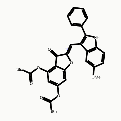 COc1ccc2[nH]c(-c3ccccc3)c(/C=C3\Oc4cc(OC(=O)C(C)(C)C)cc(OC(=O)C(C)(C)C)c4C3=O)c2c1